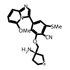 COc1cccc2ncc(-c3cc(OC[C@@]4(N)CCSC4)c(C#N)c(SC)c3)n12